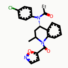 CCC(=O)N(c1ccc(Cl)cc1)[C@H]1CC(C)N(C(=O)c2ccno2)c2ccccc21